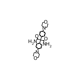 NC(=O)C(C(N)=O)(c1ccc(N2CCOCC2)cc1)c1ccc(N2CCOCC2)cc1